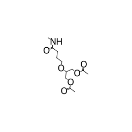 CNC(=O)CCCOC(COC(C)=O)COC(C)=O